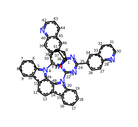 c1ccc(-n2c3ccccc3c3ccc4c5ccccc5n(-c5nc(-c6ccc7ncccc7c6)nc(-c6ccc7ncccc7c6)n5)c4c32)cc1